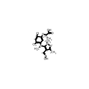 Cc1nn(C)c(N(C)c2cc(O[C@@H](C)C(=O)O)c(Cl)cc2Cl)c1C=NO